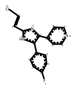 Fc1ccc(-c2[nH]c(C=CCl)nc2-c2ccncc2)cc1